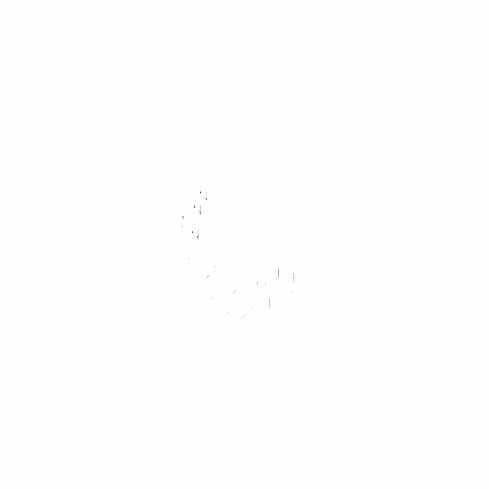 CCN(C)N1C=CN(c2cc(C)c(Sc3cccc(OC(F)(F)C(F)(F)F)c3)cc2C)C1